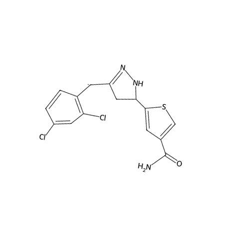 NC(=O)c1csc(C2CC([CH]c3ccc(Cl)cc3Cl)=NN2)c1